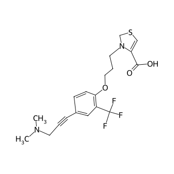 CN(C)CC#Cc1ccc(OCCCN2CSC=C2C(=O)O)c(C(F)(F)F)c1